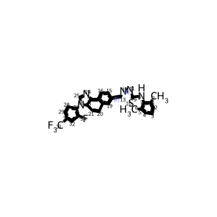 Cc1cccc(C)c1NC(=S)/N=N\C=c1/ccc2c(c1)C=CC1C=2N=CN1c1ccc(C(F)(F)F)cc1F